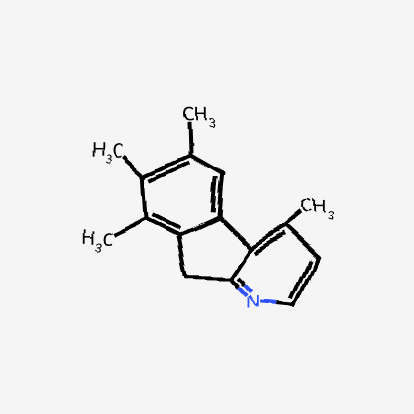 Cc1cc2c(c(C)c1C)Cc1nccc(C)c1-2